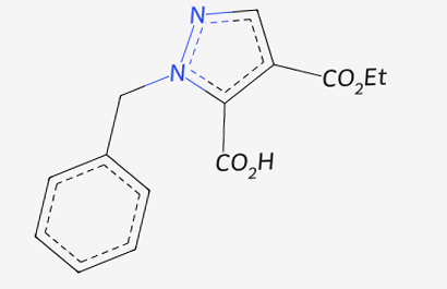 CCOC(=O)c1cnn(Cc2ccccc2)c1C(=O)O